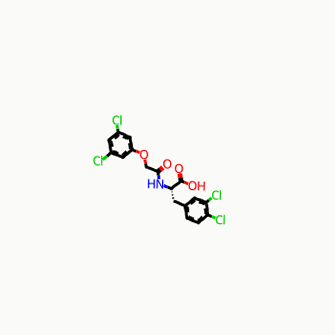 O=C(COc1cc(Cl)cc(Cl)c1)N[C@@H](Cc1ccc(Cl)c(Cl)c1)C(=O)O